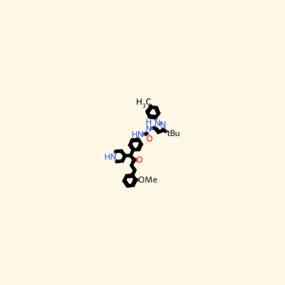 COc1ccccc1CCC(=O)C(c1ccc(NC(=O)Nc2cc(C(C)(C)C)nn2-c2ccc(C)cc2)cc1)C1CCNCC1